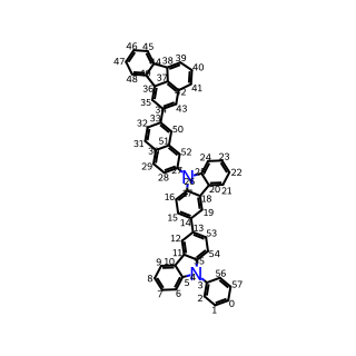 c1ccc(-n2c3ccccc3c3cc(-c4ccc5c(c4)c4ccccc4n5-c4ccc5ccc(-c6cc7c8c(cccc8c6)-c6ccccc6-7)cc5c4)ccc32)cc1